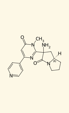 Cn1c(C2(N)C[C@H]3CCCN3C2=O)nc(-c2ccncc2)cc1=O